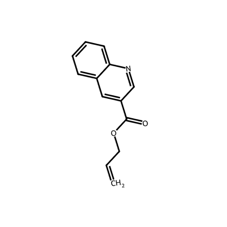 C=CCOC(=O)c1cnc2ccccc2c1